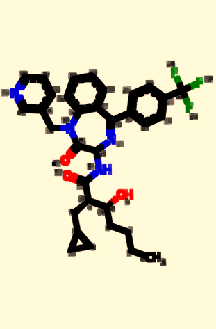 CCCC[C@H](O)[C@@H](CC1CC1)C(=O)NC1N=C(c2ccc(C(F)(F)F)cc2)c2ccccc2N(Cc2cccnc2)C1=O